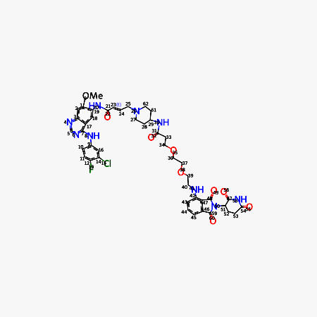 COc1cc2ncnc(Nc3ccc(F)c(Cl)c3)c2cc1NC(=O)/C=C/CN1CCC(NC(=O)CCOCCOCCNc2cccc3c2C(=O)N(C2CCC(=O)NC2=O)C3=O)CC1